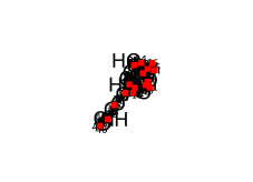 CCOCc1nc2c(NC(=O)[C@@H](NC(=O)[C@@H]3CCCN3C(=O)[C@H](CC(=O)O)NC(=O)CCOCCOCCOCCNC(=O)OC(C)(C)C)C(C)C)nc3ccccc3c2n1CC(C)(C)O